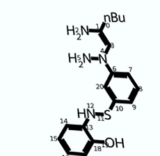 CCCC/C(N)=C/N(N)c1cccc(SNc2ccccc2O)c1